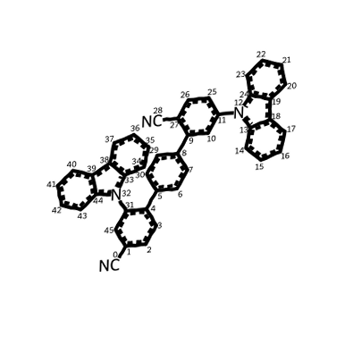 N#Cc1ccc(-c2ccc(-c3cc(-n4c5ccccc5c5ccccc54)ccc3C#N)cc2)c(-n2c3ccccc3c3ccccc32)c1